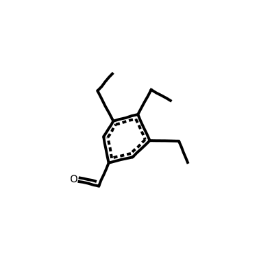 CCc1cc(C=O)cc(CC)c1CC